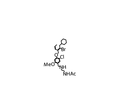 C/C=C\C(COc1cc(OC)c(CNCCNC(C)=O)cc1Cl)=C(\Br)CC1CCCCC1